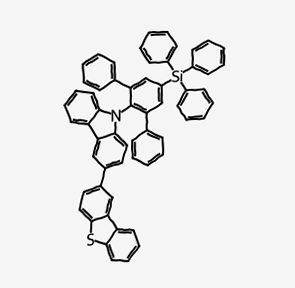 c1ccc(-c2cc([Si](c3ccccc3)(c3ccccc3)c3ccccc3)cc(-c3ccccc3)c2-n2c3ccccc3c3cc(-c4ccc5sc6ccccc6c5c4)ccc32)cc1